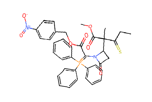 CCC(=S)C(C)(C(=O)OC)C1CC(=O)N1C(C(=O)OCc1ccc([N+](=O)[O-])cc1)=P(c1ccccc1)(c1ccccc1)c1ccccc1